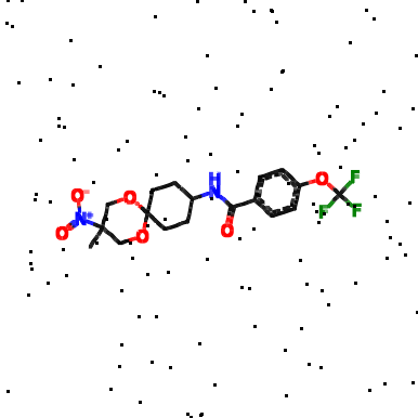 CC1([N+](=O)[O-])COC2(CCC(NC(=O)c3ccc(OC(F)(F)F)cc3)CC2)OC1